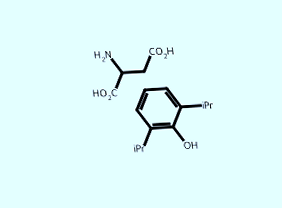 CC(C)c1cccc(C(C)C)c1O.NC(CC(=O)O)C(=O)O